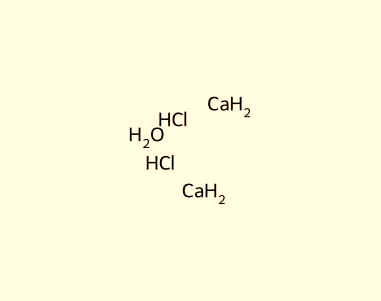 Cl.Cl.O.[CaH2].[CaH2]